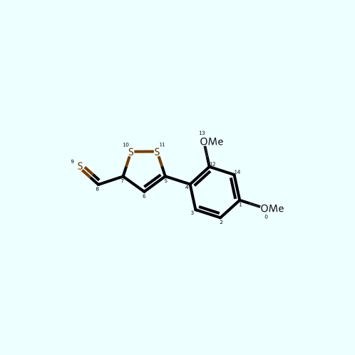 COc1ccc(C2=CC(C=S)SS2)c(OC)c1